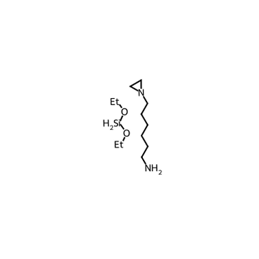 CCO[SiH2]OCC.NCCCCCCN1CC1